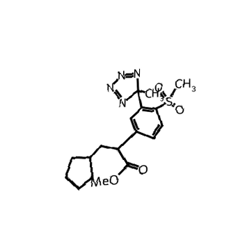 COC(=O)C(CC1CCCC1)c1ccc(S(C)(=O)=O)c(C2(C)N=NN=N2)c1